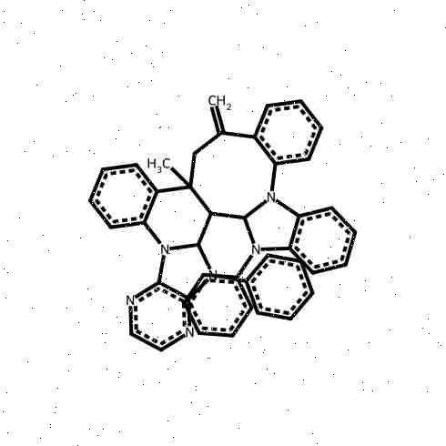 C=C1CC2(C)c3ccccc3N3c4nccnc4N(c4ccccc4)C3C2C2N(c3ccccc3)c3ccccc3N2c2ccccc21